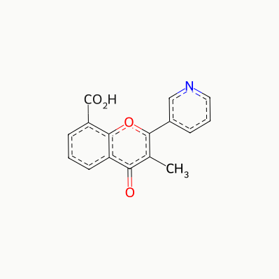 Cc1c(-c2cccnc2)oc2c(C(=O)O)cccc2c1=O